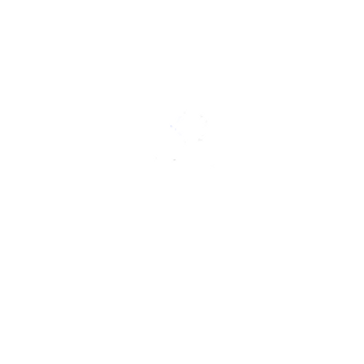 Bc1cccc(C(C)(C)C(=O)OCC)n1